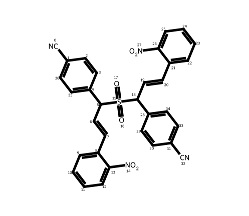 N#Cc1ccc(C(C=Cc2ccccc2[N+](=O)[O-])S(=O)(=O)C(C=Cc2ccccc2[N+](=O)[O-])c2ccc(C#N)cc2)cc1